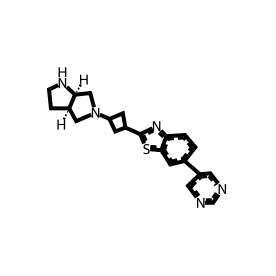 c1ncc(-c2ccc3nc(C4CC(N5C[C@H]6CCN[C@H]6C5)C4)sc3c2)cn1